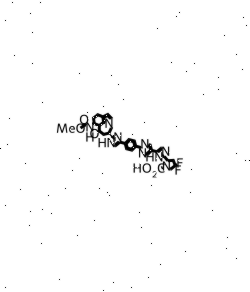 COC(=O)N[C@H]1CCc2ccn3c2C1C(=O)C[C@H](c1nc(-c2ccc(-c4ncc(-c5cnc(C6CC(F)(F)CN6C(=O)O)[nH]5)cn4)cc2)c[nH]1)C3